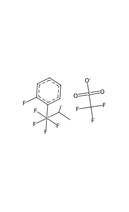 CC(C)[I+](F)(F)(F)(F)c1ccccc1F.O=S(=O)([O-])C(F)(F)F